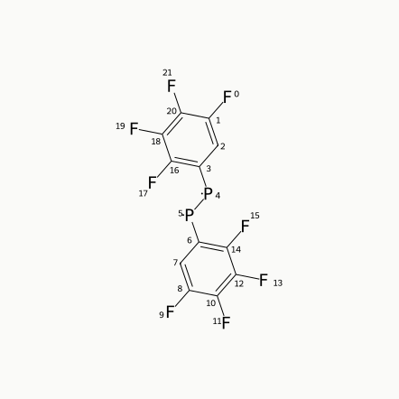 Fc1cc([P][P]c2cc(F)c(F)c(F)c2F)c(F)c(F)c1F